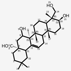 CC1(C)CC[C@@]2(C(=O)O)CC(O)[C@]3(C)C(=CCC4[C@@]5(C)CC[C@H](O)[C@@](C)(CO)C5CC[C@]43C)C2C1